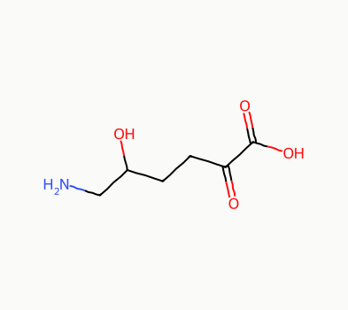 NCC(O)CCC(=O)C(=O)O